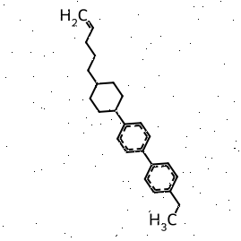 C=CCCCC1CCC(c2ccc(-c3ccc(CC)cc3)cc2)CC1